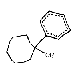 OC1(c2ccccc2)CC[CH]CC1